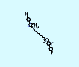 C=C(/C=C\C(=C/C)c1ccc(C#N)cc1)OCCCCCCCCCC(=O)Oc1ccc(-c2ccc(F)cc2)c(F)c1